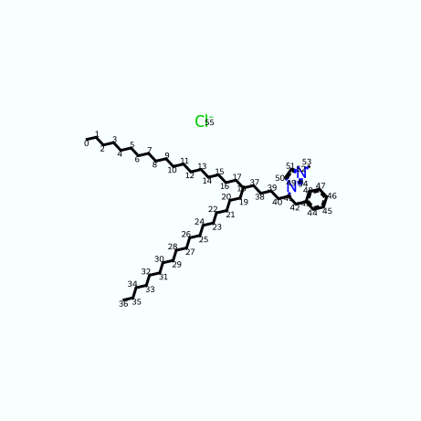 CCCCCCCCCCCCCCCCCCC(CCCCCCCCCCCCCCCCCC)CCCCC(Cc1ccccc1)[n+]1ccn(C)c1.[Cl-]